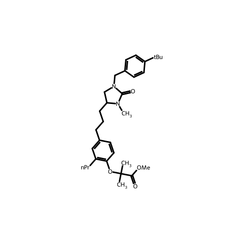 CCCc1cc(CCCC2CN(Cc3ccc(C(C)(C)C)cc3)C(=O)N2C)ccc1OC(C)(C)C(=O)OC